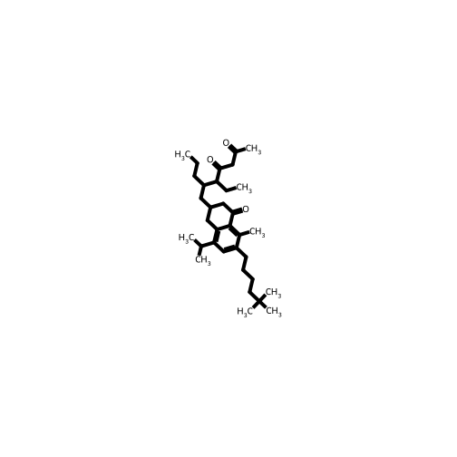 CCCC(CC1CC(=O)c2c(C)c(CCCCC(C)(C)C)cc(C(C)C)c2C1)C(CC)C(=O)CC(C)=O